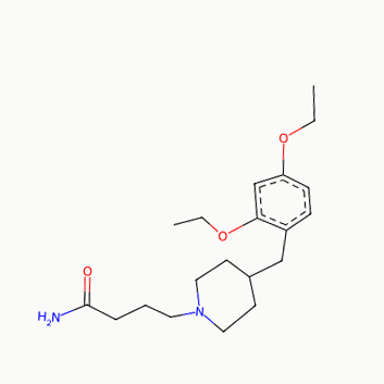 CCOc1ccc(CC2CCN(CCCC(N)=O)CC2)c(OCC)c1